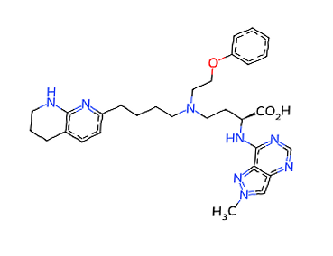 Cn1cc2ncnc(N[C@@H](CCN(CCCCc3ccc4c(n3)NCCC4)CCOc3ccccc3)C(=O)O)c2n1